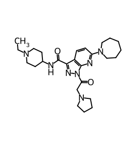 CCN1CCC(NC(=O)c2nn(C(=O)CN3CCCC3)c3nc(N4CCCCCC4)ccc23)CC1